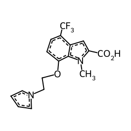 Cn1c(C(=O)O)cc2c(C(F)(F)F)ccc(OCCn3cccc3)c21